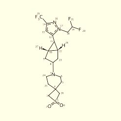 O=S1(=O)CC2(CCN(C3C[C@@H]4C(c5cc(C(F)(F)F)nn5CC(F)F)[C@@H]4C3)CC2)C1